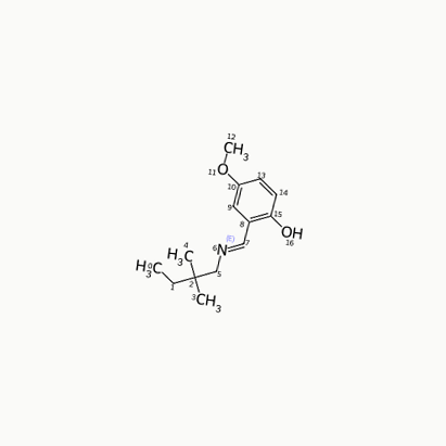 CCC(C)(C)C/N=C/c1cc(OC)ccc1O